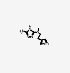 CN(CCc1cc[nH]c1)c1nnc(N)[nH]1